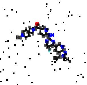 CCN1CCC2(CC1)CN(C(=O)c1ccc(Nc3ncc(F)c(-c4cnc5nn(C)c(C(C)C)c5c4)n3)nc1)C2